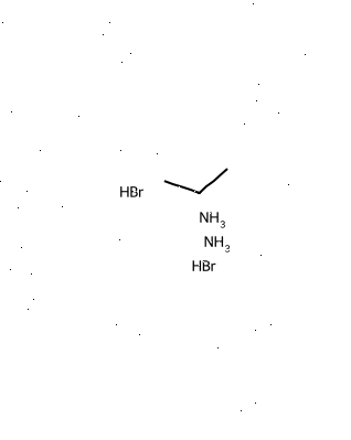 Br.Br.CCC.N.N